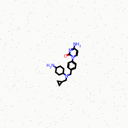 Nc1ccn(-c2ccc(CN(CC3CC3)C3CCC(N)CC3)cc2)c(=O)n1